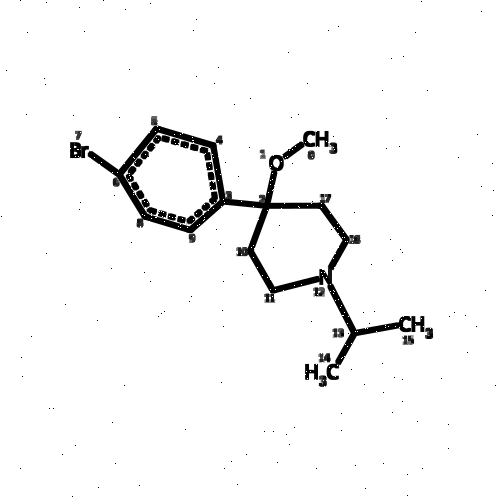 COC1(c2ccc(Br)cc2)CCN(C(C)C)CC1